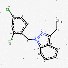 CCc1nn(Cc2ccc(Cl)cc2Cl)c2ccccc12